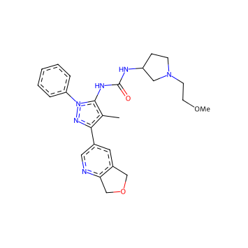 COCCN1CCC(NC(=O)Nc2c(C)c(-c3cnc4c(c3)COC4)nn2-c2ccccc2)C1